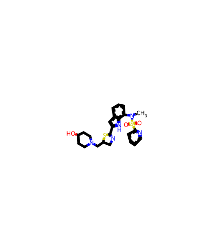 CN(c1cccc2cc(C3=NCC(CN4CCC(O)CC4)S3)[nH]c12)S(=O)(=O)c1ccccn1